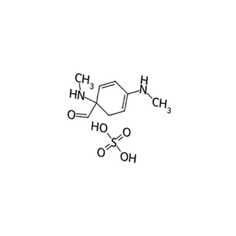 CNC1=CCC(C=O)(NC)C=C1.O=S(=O)(O)O